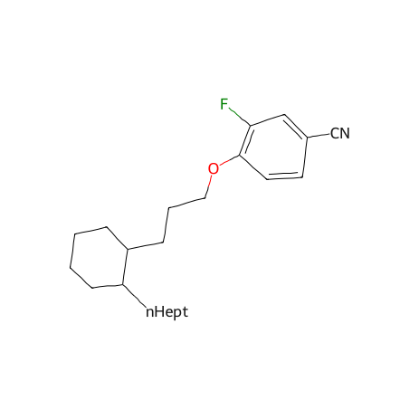 CCCCCCCC1CCCCC1CCCOc1ccc(C#N)cc1F